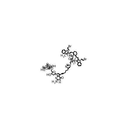 CC1(C)C(/C=C/C2=C(NCC(=O)NCCn3cc(CCCC#Cc4cn(C5C[C@@H](O)C(COP(=O)(O)OP(=O)(O)OP(=O)(O)O)O5)c5nc(N)[nH]c(=O)c45)nn3)C(=C/C=C3/N(/C=C/Br)c4ccccc4C3(C)C)/CCC2)=[N+](/C=C/Br)c2ccccc21